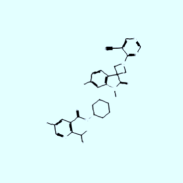 N#Cc1cncnc1N1CC2(C1)C(=O)N(C[C@H]1CC[C@H](NC(=O)c3cc(Cl)cnc3C(F)F)CC1)c1cc(F)ccc12